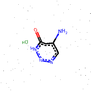 Cl.Nc1cnn[nH]c1=O